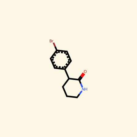 O=C1NCCCC1c1ccc(Br)cc1